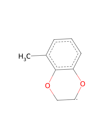 Cc1cccc2c1OC[CH]O2